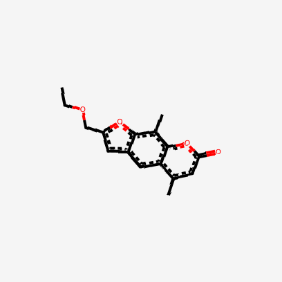 CCOCc1cc2cc3c(C)cc(=O)oc3c(C)c2o1